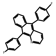 Fc1ccc(-c2c3ccccc3c(-c3ccc(F)cc3)c3ncccc23)cc1